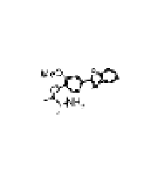 COc1cc(-c2nc3ccccc3s2)ccc1OC(C)[C@@H](C)N